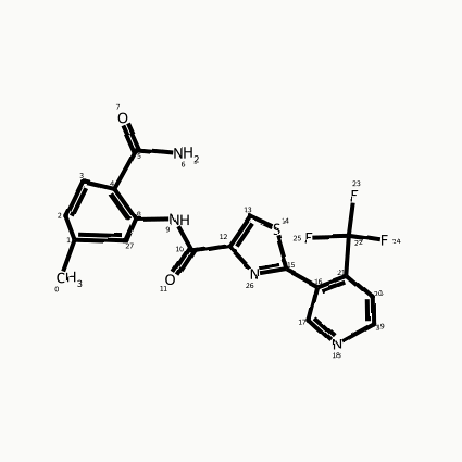 Cc1ccc(C(N)=O)c(NC(=O)c2csc(-c3cnccc3C(F)(F)F)n2)c1